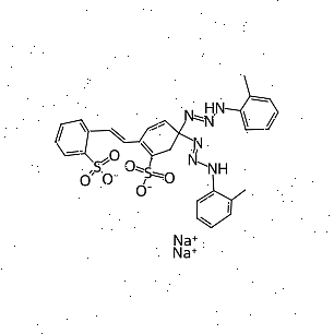 Cc1ccccc1NN=NC1(N=NNc2ccccc2C)C=CC(C=Cc2ccccc2S(=O)(=O)[O-])=C(S(=O)(=O)[O-])C1.[Na+].[Na+]